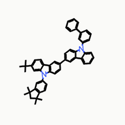 CC(C)(C)c1ccc2c3cc(-c4ccc5c(c4)c4ccccc4n5-c4cccc(-c5ccccc5)c4)ccc3n(-c3ccc4c(c3)C(C)(C)CC4(C)C)c2c1